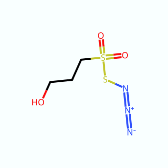 [N-]=[N+]=NSS(=O)(=O)CCCO